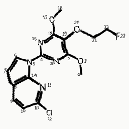 COc1nc(-n2ccc3ccc(Cl)nc32)nc(OC)c1OCCF